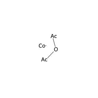 CC(=O)OC(C)=O.[Co]